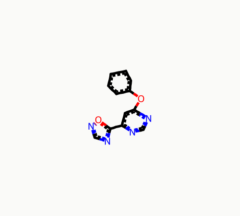 c1ccc(Oc2cc(-c3ncno3)ncn2)cc1